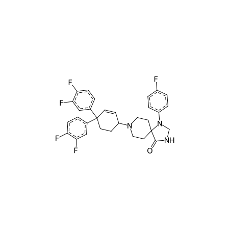 O=C1NCN(c2ccc(F)cc2)C12CCN(C1C=CC(c3ccc(F)c(F)c3)(c3ccc(F)c(F)c3)CC1)CC2